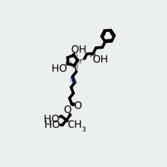 CC(CO)(CO)COC(=O)CCC/C=C/C[C@@H]1[C@@H](CC[C@@H](O)CCc2ccccc2)[C@H](O)C[C@@H]1O